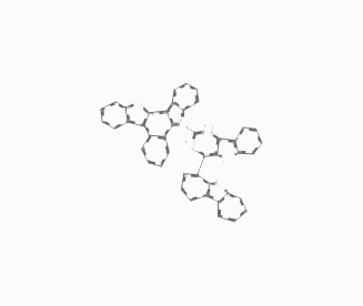 c1ccc2c(c1)oc1c(-c3nc(-n4c5ccccc5c5c6sc7ccccc7c6c6ccccc6c54)nc4c3oc3ccccc34)cccc12